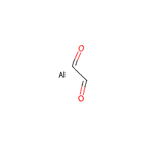 O=CC=O.[Al]